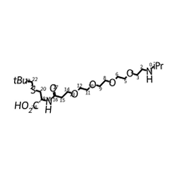 CC(C)NCCOCCOCCOCCOCCC(=O)N[C@@H](CSCC(C)(C)C)C(=O)O